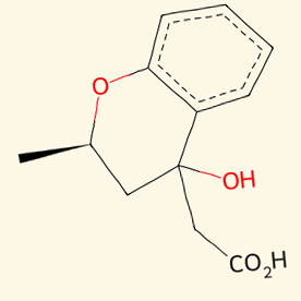 C[C@@H]1CC(O)(CC(=O)O)c2ccccc2O1